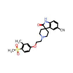 Cc1cc(OCCN2CCC3(CC2)C(=O)Nc2ccc(C#N)cc23)ccc1S(C)(=O)=O